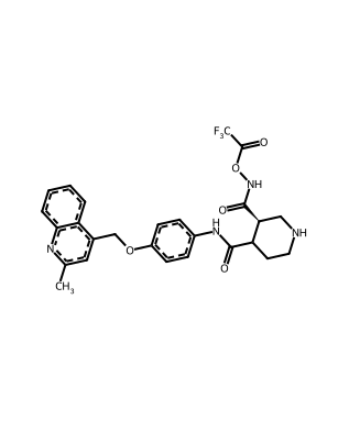 Cc1cc(COc2ccc(NC(=O)C3CCNC[C@@H]3C(=O)NOC(=O)C(F)(F)F)cc2)c2ccccc2n1